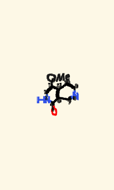 COc1c[nH]c(=O)c2cnccc12